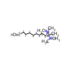 CCCCCCCCCCCCCCCCCC[Si](C)(N(C)C)N(C)C